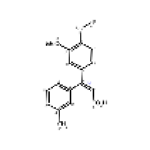 CCCOc1ccc(/C(=C/C(=O)O)c2cccc(C)c2)cc1OC